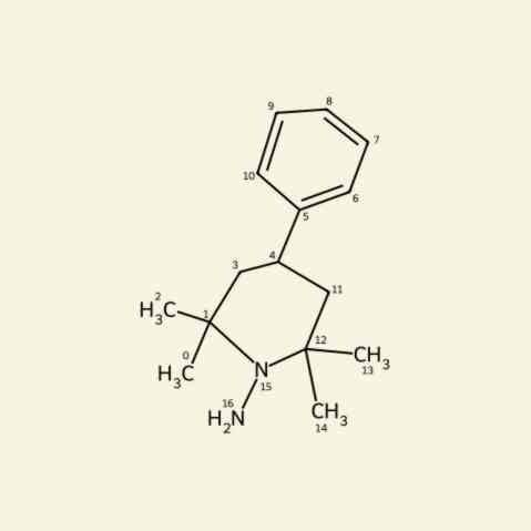 CC1(C)CC(c2ccccc2)CC(C)(C)N1N